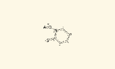 CC(=O)On1ccccc1=S